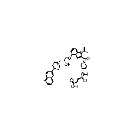 CC(C)n1c(C(=O)N2CCCC2)cc2c(OCC(O)CN3CCC(c4ccc5ccccc5c4)CC3)cccc21.O=C(O)C=CC(=O)O